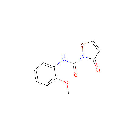 COc1ccccc1NC(=O)n1sccc1=O